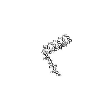 Cc1cc(O)cc2c1N(C)c1cc(O)ccc1N2.O=C1OC(c2ccc(O)cc2)c2ccccc21.Oc1ccc2c(c1)Oc1ccc(O)cc1S2.Oc1ccc2c(c1)Oc1cccc(O)c1O2.Oc1ccc2c(c1)Sc1cccc(O)c1S2.Oc1ccc2c(c1)[nH]c1cc(O)ccc12.Oc1ccc2c(c1)oc1c(O)cccc12.Oc1ccc2c(c1)sc1c(O)cccc12